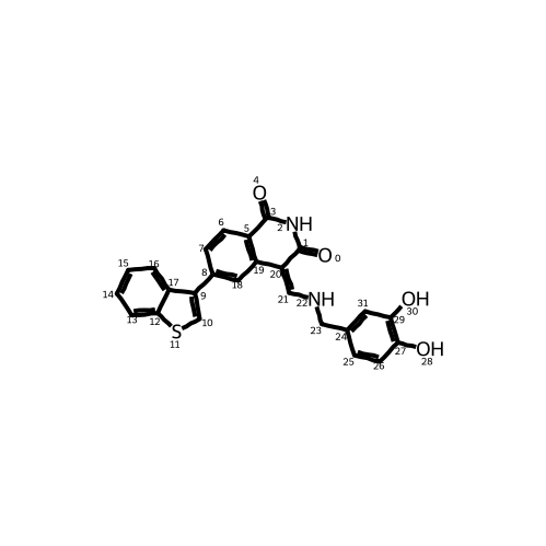 O=C1NC(=O)c2ccc(-c3csc4ccccc34)cc2C1=CNCc1ccc(O)c(O)c1